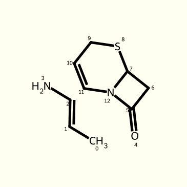 CC=CN.O=C1CC2SCC=CN12